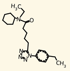 CCc1ccc(-n2nnnc2CCCCC(=O)N(CC)C2CCCCC2)cc1